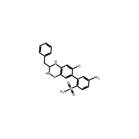 Nc1ccc(S(N)(=O)=O)c(-c2cc3c(cc2Cl)NC(Cc2ccccc2)NS3)c1